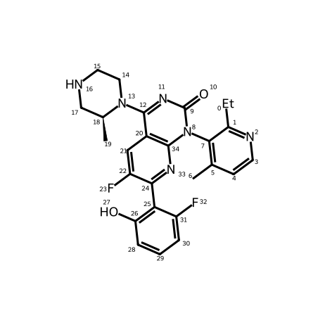 CCc1nccc(C)c1-n1c(=O)nc(N2CCNC[C@@H]2C)c2cc(F)c(-c3c(O)cccc3F)nc21